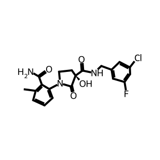 Cc1cccc(N2CC[C@](O)(C(=O)NCc3cc(F)cc(Cl)c3)C2=O)c1C(N)=O